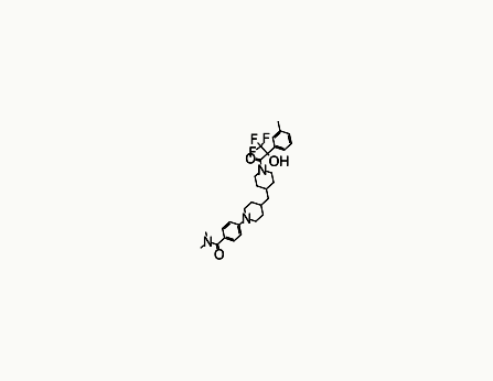 Cc1cccc(C(O)(C(=O)N2CCC(CC3CCN(c4ccc(C(=O)N(C)C)cc4)CC3)CC2)C(F)(F)F)c1